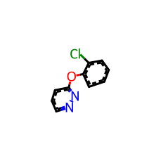 Clc1ccccc1Oc1cccnn1